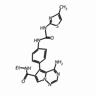 CCNC(=O)c1cn2ncnc(N)c2c1-c1ccc(NC(=O)Nc2nc(C)cs2)cc1